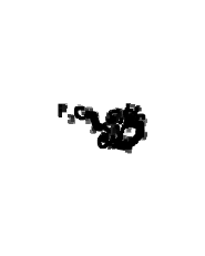 CCC1CCCCN1[Si](CCC(F)(F)F)(OC)OC